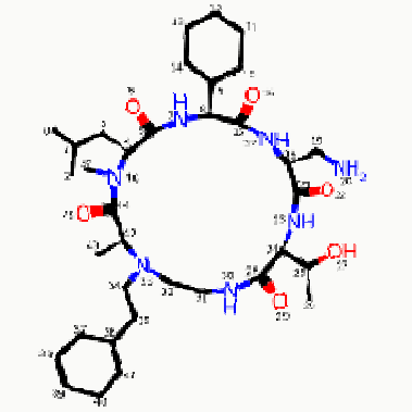 CC(C)C[C@H]1C(=O)N[C@@H](C2CCCCC2)C(=O)N[C@@H](CN)C(=O)N[C@@H]([C@H](C)O)C(=O)NCCN(CCC2CCCCC2)[C@@H](C)C(=O)N1C